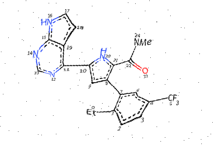 CCc1ccc(C(F)(F)F)cc1-c1cc(-c2ncnc3[nH]ccc23)[nH]c1C(=O)NC